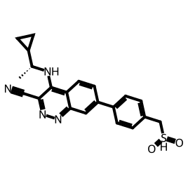 C[C@@H](Nc1c(C#N)nnc2cc(-c3ccc(C[SH](=O)=O)cc3)ccc12)C1CC1